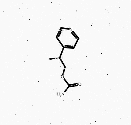 C[C@H](COC(N)=O)c1ccncc1